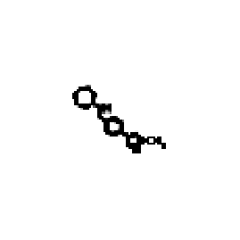 Cn1cc(-c2ccc(CNC3CCCCCC3)cc2)cn1